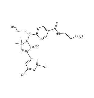 CC(C)(C)CC[C@H](c1ccc(C(=O)NCCC(=O)O)cc1)N1C(=O)C(c2cc(Cl)cc(Cl)c2)=NC1(C)C